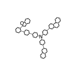 c1ccc(-c2cc3ccccc3o2)c(-c2ccc(-c3ccc(N(c4ccc(-c5ccc6ccccc6c5)cc4)c4ccc(-c5ccc6c(ccc7ccccc76)c5)cc4)cc3)cc2)c1